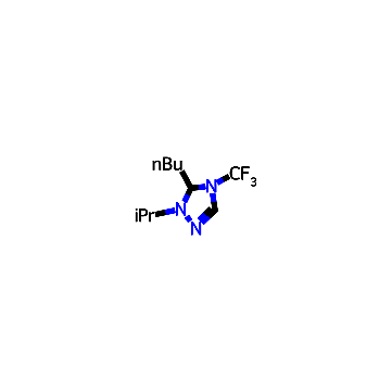 CCCCC1N(C(C)C)N=CN1C(F)(F)F